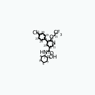 O=C(N[C@H]1CCCC[C@H]1O)c1cnc(OCC(F)(F)F)c(-c2ccc(Cl)cc2)c1